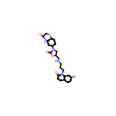 O=C1CSc2ccc(N3CC(CNCCCn4c(=O)ccc5ccc(Br)cc54)OC3=O)cc2N1